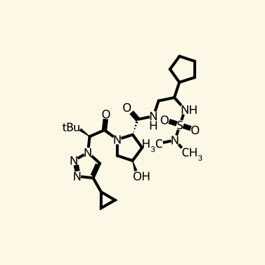 CN(C)S(=O)(=O)NC(CNC(=O)[C@@H]1C[C@@H](O)CN1C(=O)[C@@H](n1cc(C2CC2)nn1)C(C)(C)C)C1CCCC1